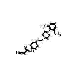 Cc1cccc(C)c1N1CCN(CC[C@H]2CC[C@H](NC(=O)CC#N)CC2)CC1